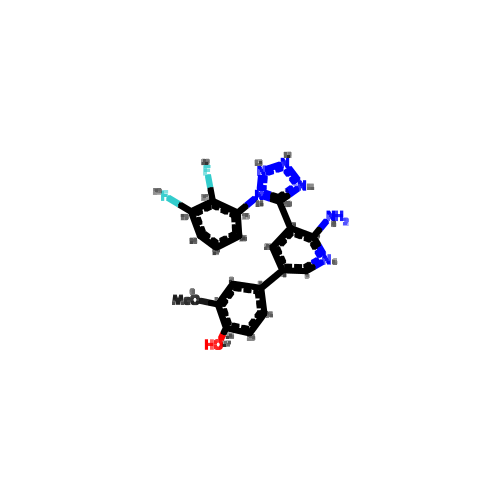 COc1cc(-c2cnc(N)c(-c3nnnn3-c3cccc(F)c3F)c2)ccc1O